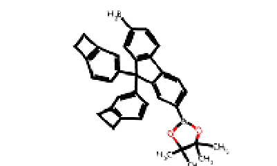 Bc1ccc2c(c1)C(c1ccc3c(c1)CC3)(c1ccc3c(c1)CC3)c1cc(B3OC(C)(C)C(C)(C)O3)ccc1-2